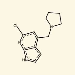 Clc1cc(CN2CCCC2)c2cc[nH]c2n1